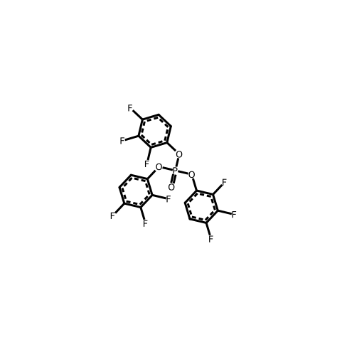 O=P(Oc1ccc(F)c(F)c1F)(Oc1ccc(F)c(F)c1F)Oc1ccc(F)c(F)c1F